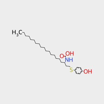 CCCCCCCCCCCCCCCCCC(CCSc1ccc(O)cc1)NC(=O)O